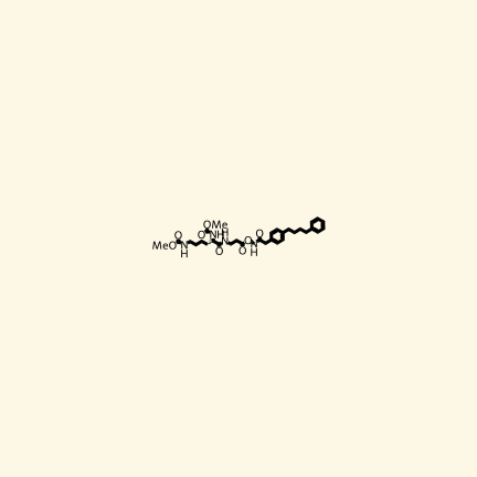 COC(=O)NCCCC[C@H](NC(=O)OC)C(=O)NCCC(=O)ONC(=O)Cc1ccc(CCCCc2ccccc2)cc1